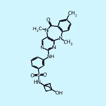 Cc1ccc2c(c1)C(=O)N(C)c1cnc(Nc3cccc(S(=O)(=O)NC45CC(O)(C4)C5)c3)nc1N2C